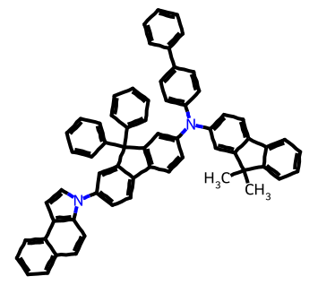 CC1(C)c2ccccc2-c2ccc(N(c3ccc(-c4ccccc4)cc3)c3ccc4c(c3)C(c3ccccc3)(c3ccccc3)c3cc(-n5ccc6c7ccccc7ccc65)ccc3-4)cc21